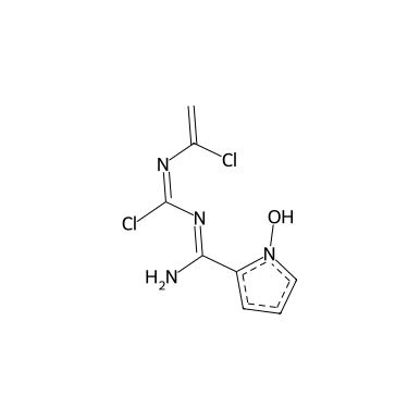 C=C(Cl)/N=C(Cl)\N=C(/N)c1cccn1O